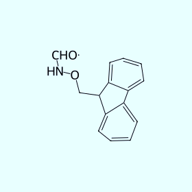 O=[C]NOCC1c2ccccc2-c2ccccc21